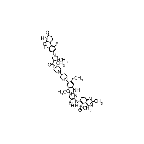 CCc1cc(Nc2ncc(Br)c(Nc3ccc4nc(C)ncc4c3P(C)(C)=O)n2)c(OC)cc1N1CCC(N2CCN(C(=O)C3CN(c4cc(F)c(C5CCC(=O)NC5=O)c(F)c4)CC3(C)C)CC2)CC1